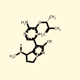 C=C(C)[C@@H](C)Oc1nc(-c2c(C#N)nn3c2C(N(C)F)CC3)cnc1N